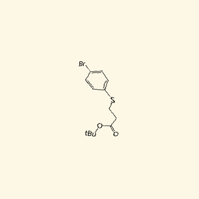 CC(C)(C)OC(=O)CCSc1ccc(Br)cc1